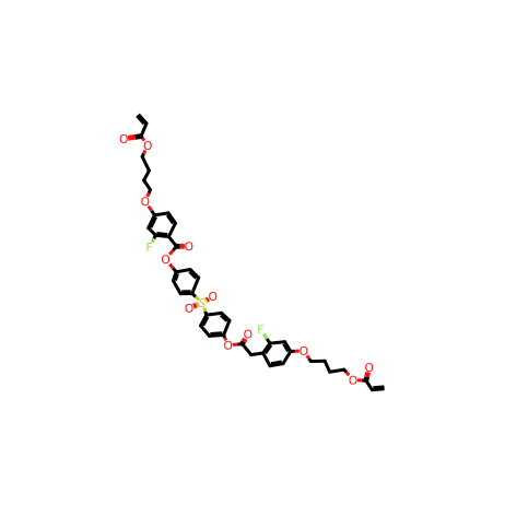 C=CC(=O)OCCCCOc1ccc(CC(=O)Oc2ccc(S(=O)(=O)c3ccc(OC(=O)c4ccc(OCCCCOC(=O)C=C)cc4F)cc3)cc2)c(F)c1